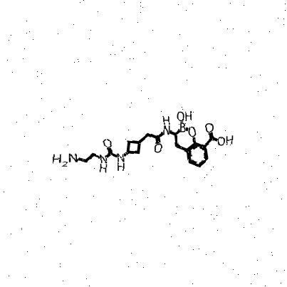 NCCNC(=O)NC1CC(CC(=O)NC2Cc3cccc(C(=O)O)c3OB2O)C1